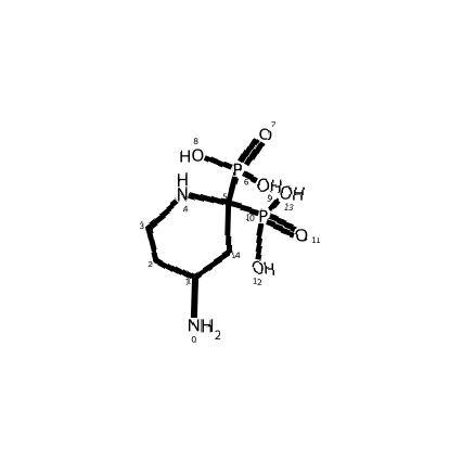 NC1CCNC(P(=O)(O)O)(P(=O)(O)O)C1